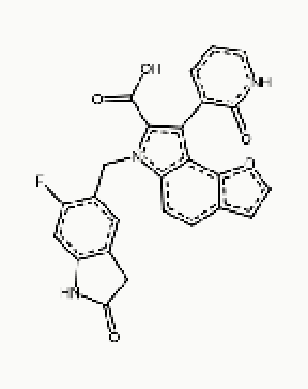 O=C1Cc2cc(Cn3c(C(=O)O)c(-c4ccc[nH]c4=O)c4c5occc5ccc43)c(F)cc2N1